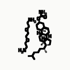 CC(C)CCC[C@@H](C)[C@H]1CC[C@H]2[C@@H]3CC=C4C[C@@H](OC(N)=O)CC[C@]4(C)[C@H]3CC[C@]12C.NCCOCCOCCN